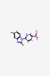 Cc1ccc2c(c1)nc(C)n2-c1ccc([N+](=O)[O-])cn1